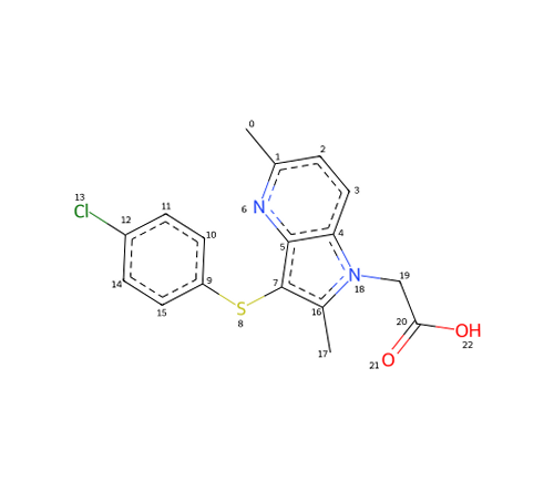 Cc1ccc2c(n1)c(Sc1ccc(Cl)cc1)c(C)n2CC(=O)O